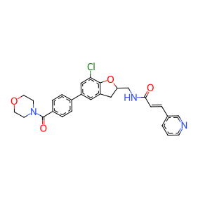 O=C(C=Cc1cccnc1)NCC1Cc2cc(-c3ccc(C(=O)N4CCOCC4)cc3)cc(Cl)c2O1